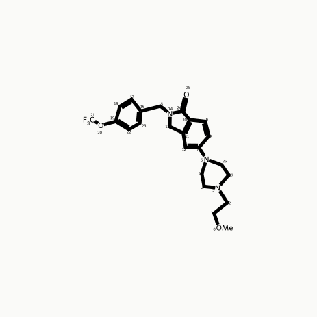 COCCN1CCN(c2ccc3c(c2)CN(Cc2ccc(OC(F)(F)F)cc2)C3=O)CC1